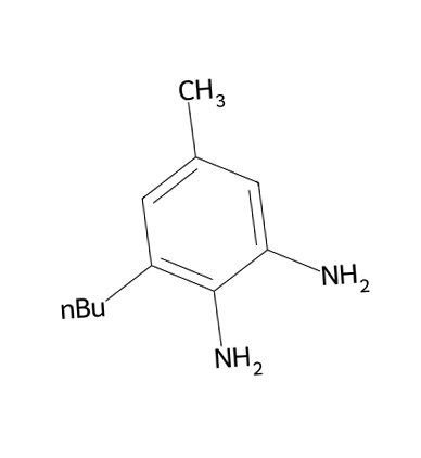 CCCCc1cc(C)cc(N)c1N